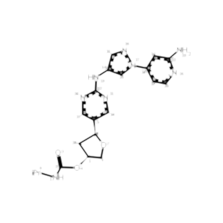 CC(C)NC(=O)O[C@@H]1CO[C@H](c2cnc(Nc3cnn(-c4ccnc(N)c4)c3)nc2)C1